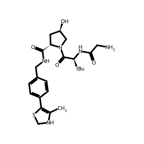 CC1=C(c2ccc(CNC(=O)[C@@H]3C[C@@H](O)CN3C(=O)[C@@H](NC(=O)CN)C(C)(C)C)cc2)SCN1